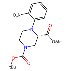 COC(=O)[C@@H]1CN(C(=O)OC(C)(C)C)CCN1c1ccccc1[N+](=O)[O-]